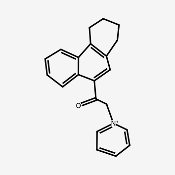 O=C(C[n+]1ccccc1)c1cc2c(c3ccccc13)CCCC2